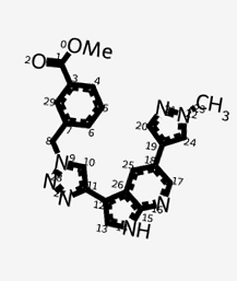 COC(=O)c1cccc(Cn2cc(-c3c[nH]c4ncc(-c5cnn(C)c5)cc34)nn2)c1